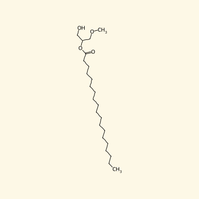 CCCCCCCCCCCCCCCCCCC(=O)OC(CO)COC